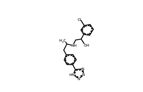 CC(Cc1ccc(-c2nnn[nH]2)cc1)NCC(O)c1cccc(Cl)c1